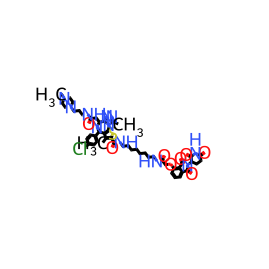 Cc1c(C(=O)NCCCCCCCCNC(=O)COc2cccc3c2C(=O)N(C2CCC(=O)NC2=O)C3=O)sc2c1C(c1ccc(Cl)cc1)=NC(CC(=O)NCCCN1CCN(C)CC1)c1nnc(C)n1-2